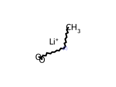 CCCCCCCC/C=C\CCCCCCCCCC(=O)[O-].[Li+]